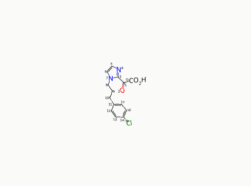 O=C(O)C(=O)c1nccn1CCCc1ccc(Cl)cc1